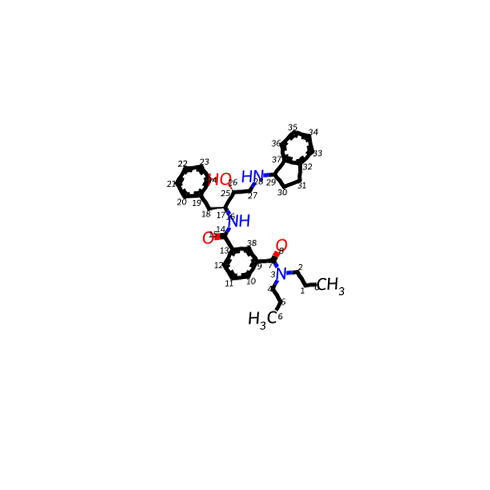 CCCN(CCC)C(=O)c1cccc(C(=O)N[C@@H](Cc2ccccc2)[C@H](O)CNC2CCc3ccccc32)c1